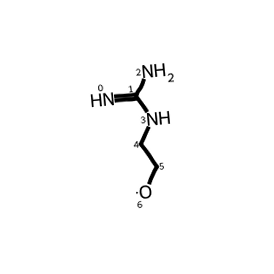 N=C(N)NCC[O]